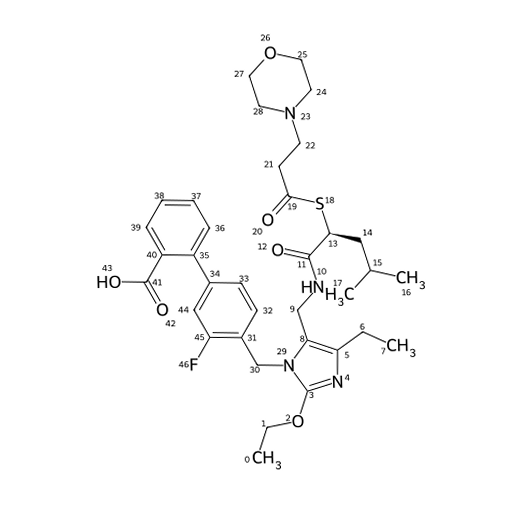 CCOc1nc(CC)c(CNC(=O)[C@H](CC(C)C)SC(=O)CCN2CCOCC2)n1Cc1ccc(-c2ccccc2C(=O)O)cc1F